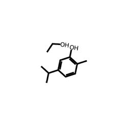 CCO.Cc1ccc(C(C)C)cc1O